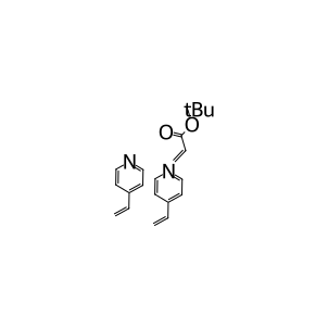 C=CC(=O)OC(C)(C)C.C=Cc1ccncc1.C=Cc1ccncc1